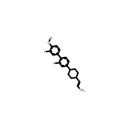 C/C=C/C1CCC(c2ccc(-c3ccc(OCC)c(F)c3)c(F)c2)CC1